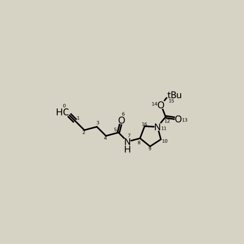 C#CCCCC(=O)NC1CCN(C(=O)OC(C)(C)C)C1